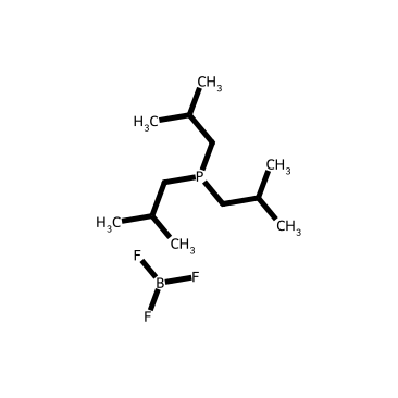 CC(C)CP(CC(C)C)CC(C)C.FB(F)F